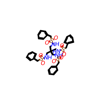 O=S(=O)(Cc1ccccc1)NCC(CNS(=O)(=O)Cc1ccccc1)(CNS(=O)(=O)Cc1ccccc1)CNS(=O)(=O)Cc1ccccc1